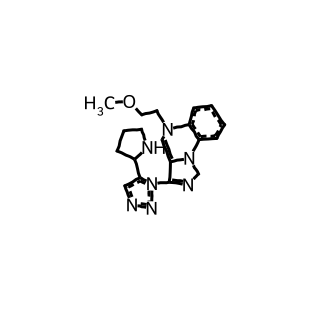 COCCN1C=C2C(n3nncc3C3CCCN3)=NCN2c2ccccc21